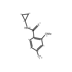 COc1cc(C(F)(F)F)ccc1C(=S)NC1CC1